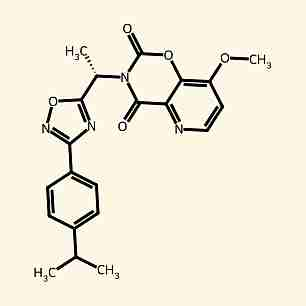 COc1ccnc2c(=O)n([C@@H](C)c3nc(-c4ccc(C(C)C)cc4)no3)c(=O)oc12